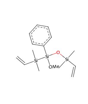 C=C[Si](C)(C)O[Si](OC)(c1ccccc1)[Si](C)(C)C=C